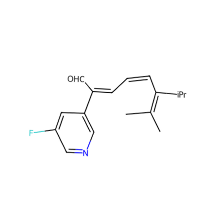 CC(C)=C(/C=C\C=C(/C=O)c1cncc(F)c1)C(C)C